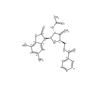 C=C1[C@@H](OC(C)=O)[C@H](n2c(=O)sc3c(O)nc(N)nc32)O[C@@H]1COC(=O)c1ccccc1